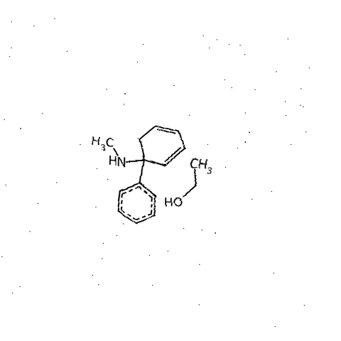 CCO.CNC1(c2ccccc2)C=CC=CC1